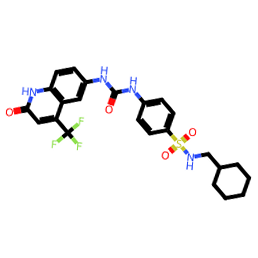 O=C(Nc1ccc(S(=O)(=O)NCC2CCCCC2)cc1)Nc1ccc2[nH]c(=O)cc(C(F)(F)F)c2c1